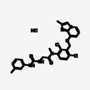 Cc1cccc(NC(=O)NCC(=O)N(C)c2ccc(Cl)c(COc3cccn4cc(C)nc34)c2Cl)c1.Cl